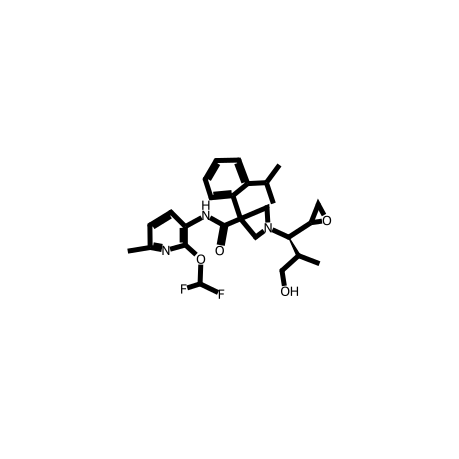 Cc1ccc(NC(=O)C2(c3ccccc3C(C)C)CN([C@H](C(C)CO)C3CO3)C2)c(OC(F)F)n1